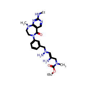 CCNc1ncc2c(n1)N(C)CCN(c1cccc(CN(N)/C=C(\N)CN(C)C(=O)OC(C)(C)C)c1)C2=O